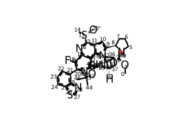 COC(=O)N1CCC[C@@H]1c1cc2c([S+](C)[O-])nc3c(F)c(-c4cccc5scnc45)ncc3c2n1[C@H]1[C@@H]2C[C@H]1N(C(=O)OC(C)(C)C)C2